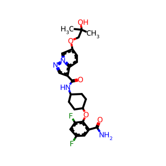 CC(C)(O)COc1ccc2c(C(=O)NC3CCC(Oc4c(F)cc(F)cc4C(N)=O)CC3)cnn2c1